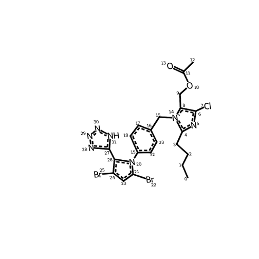 CCCCc1nc(Cl)c(COC(C)=O)n1Cc1ccc(-n2c(Br)cc(Br)c2-c2nnn[nH]2)cc1